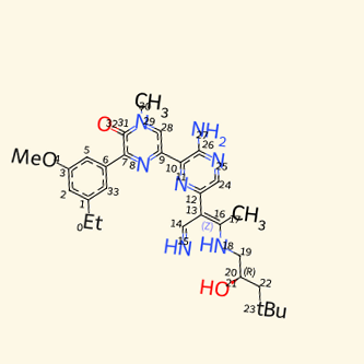 CCc1cc(OC)cc(-c2nc(-c3nc(/C(C=N)=C(\C)NC[C@H](O)CC(C)(C)C)cnc3N)cn(C)c2=O)c1